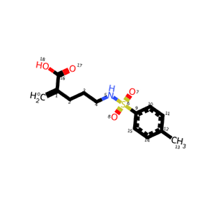 C=C(CCCNS(=O)(=O)c1ccc(C)cc1)C(=O)O